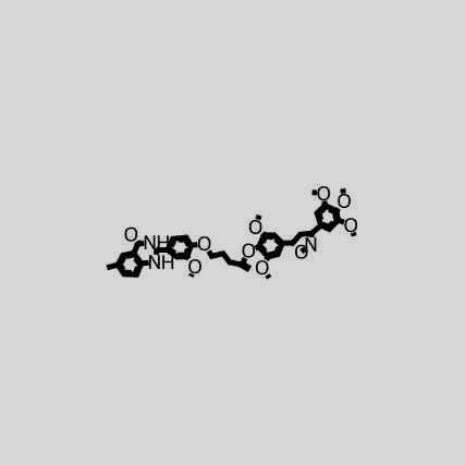 C=C(CCCOc1ccc(C2NC(=O)c3cc(C)ccc3N2)cc1OC)Oc1c(OC)cc(C2CC(c3cc(OC)c(OC)c(OC)c3)=NO2)cc1OC